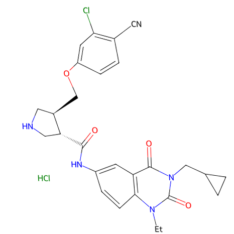 CCn1c(=O)n(CC2CC2)c(=O)c2cc(NC(=O)[C@@H]3CNC[C@H]3COc3ccc(C#N)c(Cl)c3)ccc21.Cl